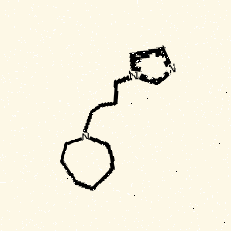 [c]1cn(CCCN2CCCCCC2)cn1